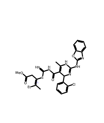 CC/C(C)=C(\CC(=O)OC)SC(=N)NC(=O)C1=C(C)NC(Nc2nc3ccccc3o2)=NC1c1ccccc1Cl